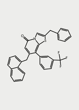 O=c1cc(Cc2cccc3ccccc23)c(-c2cccc(C(F)(F)F)c2)c2sc(Cc3ccccc3)cn12